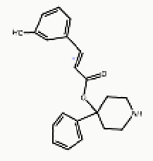 O=C(/C=C/c1cccc(O)c1)OC1(c2ccccc2)CCNCC1